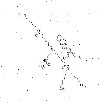 CCCCCCCCCOC(=O)CCCCCCCN(CCCCCCCC(=O)OC(CCCCCCCC)CCCCCCCC)CCCCNC(C)=O.CCOC(CCCN(Cc1ccccc1)C(=O)O)OCC